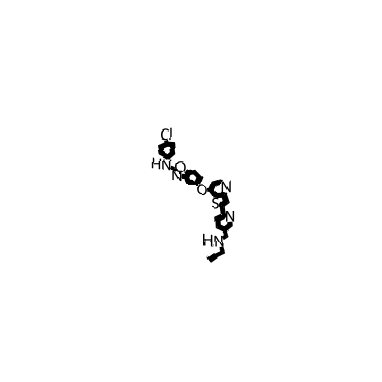 C#CCNCc1ccc(-c2cc3nccc(Oc4ccc5oc(Nc6ccc(Cl)cc6)nc5c4)c3s2)nc1